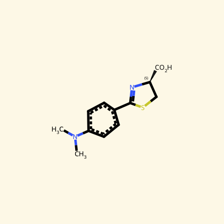 CN(C)c1ccc(C2=N[C@@H](C(=O)O)CS2)cc1